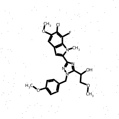 COCC(O)c1nc(-c2cc3cc(OC)c(Cl)c(F)c3n2C)nn1Cc1ccc(OC)cc1